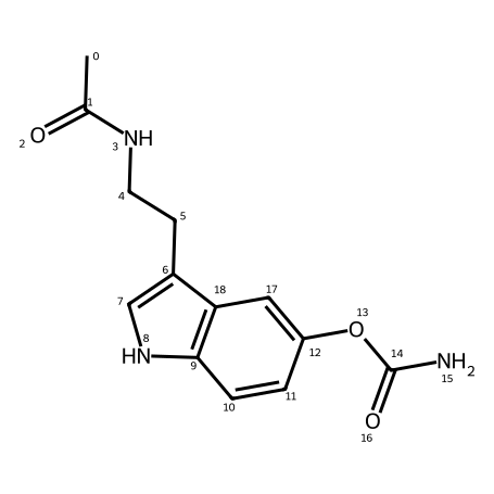 CC(=O)NCCc1c[nH]c2ccc(OC(N)=O)cc12